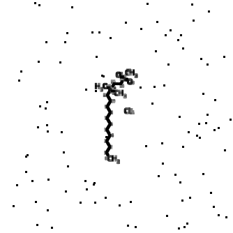 CCCCCCCCCCCC[N+](C)(C)CCS(C)(=O)=O.[Cl-]